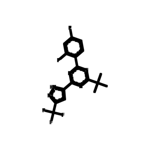 CC(C)(C)c1nc(-c2cc(C(F)(F)F)n[nH]2)nc(-c2ccc(F)cc2F)n1